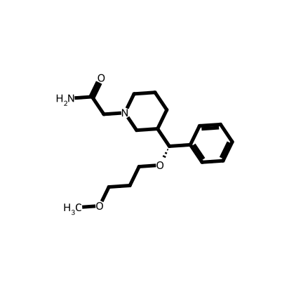 COCCCO[C@@H](c1ccccc1)C1CCCN(CC(N)=O)C1